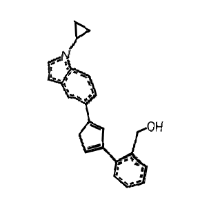 OCc1ccccc1C1=CCC(c2ccc3c(ccn3C3CC3)c2)=C1